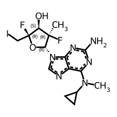 CN(c1nc(N)nc2c1ncn2[C@@H]1O[C@](F)(CI)[C@@H](O)[C@@]1(C)F)C1CC1